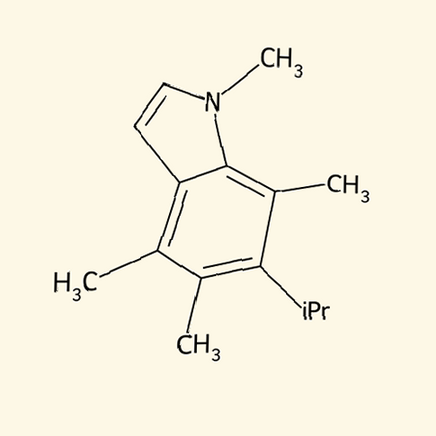 Cc1c(C(C)C)c(C)c2c(ccn2C)c1C